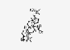 CCC(=O)[C@H]1C[C@H]2N([Si](C)(C)C(C)(C)C)C(=O)CC[C@]2(C)[C@H]2CC[C@]3(C)[C@@H](O[Si](C)(C)C(C)(C)C)CC[C@H]3[C@H]12